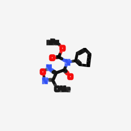 CCCCOC(=O)N(C(=O)c1nonc1OC)c1ccccc1